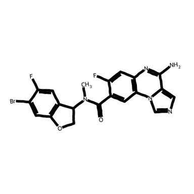 CN(C(=O)c1cc2c(cc1F)nc(N)c1cncn12)C1COc2cc(Br)c(F)cc21